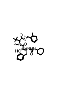 Cc1ccccc1CNC(=O)[C@H]1N(C(=O)[C@@H](O)[C@H](Cc2ccccc2)NC(=O)NC2CCCCC2)CSC1(C)C